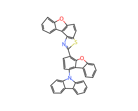 c1ccc2c(c1)oc1c(-c3nc4c(ccc5oc6ccccc6c54)s3)ccc(-n3c4ccccc4c4ccccc43)c12